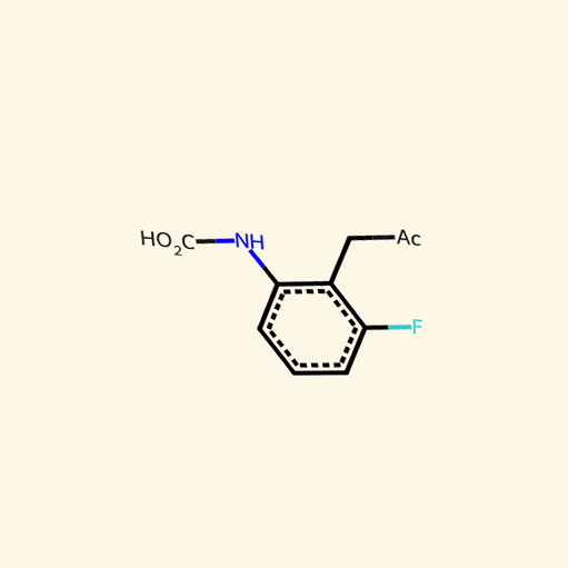 CC(=O)Cc1c(F)cccc1NC(=O)O